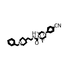 C[C@@H]1CN(c2ccc(C#N)cc2)C[C@@H](C)N1C(=O)NCCC1CCN(Cc2ccccc2)CC1